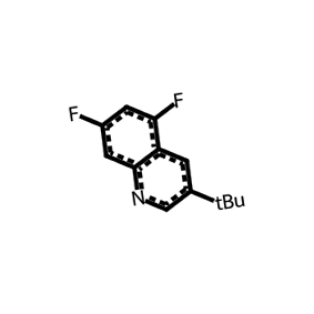 CC(C)(C)c1cnc2cc(F)cc(F)c2c1